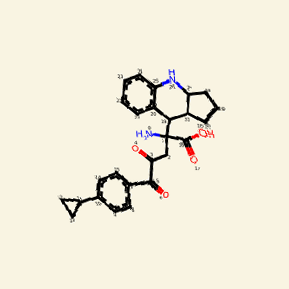 NC(CC(=O)C(=O)c1ccc(C2CC2)cc1)(C(=O)O)C1c2ccccc2NC2CCCC21